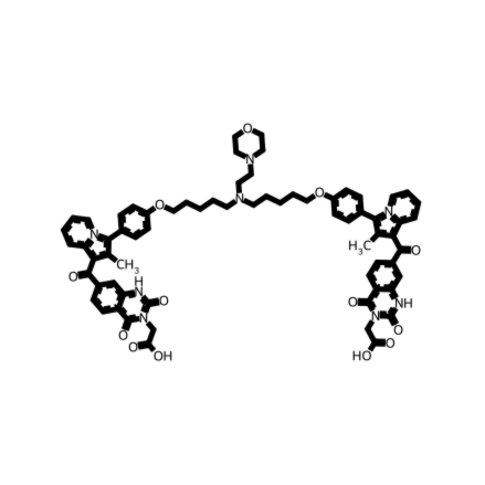 Cc1c(C(=O)c2ccc3c(=O)n(CC(=O)O)c(=O)[nH]c3c2)c2ccccn2c1-c1ccc(OCCCCCN(CCCCCOc2ccc(-c3c(C)c(C(=O)c4ccc5c(=O)n(CC(=O)O)c(=O)[nH]c5c4)c4ccccn34)cc2)CCN2CCOCC2)cc1